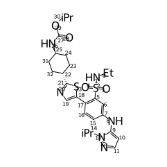 CCNS(=O)(=O)c1cc(Nc2ccnn2C(C)C)ccc1-c1cnc([C@H]2CC[C@H](NC(=O)OC(C)C)CC2)s1